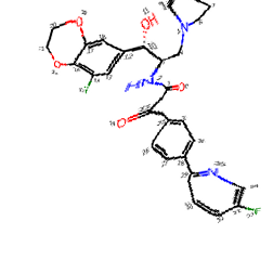 O=C(N[C@H](CN1CCCC1)[C@@H](O)c1cc(F)c2c(c1)OCCO2)C(=O)c1ccc(-c2ccc(F)cn2)cc1